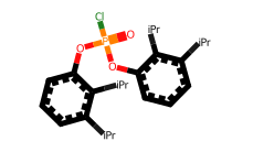 CC(C)c1cccc(OP(=O)(Cl)Oc2cccc(C(C)C)c2C(C)C)c1C(C)C